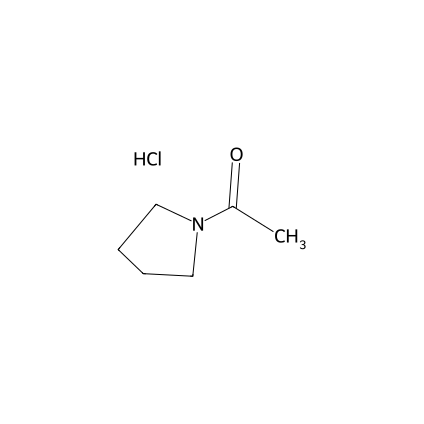 CC(=O)N1CCCC1.Cl